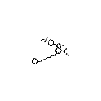 CCS(=O)(=O)N1CCC(c2c[nH]c3c(C(N)=O)cc(OCCCCOCc4ccccc4)cc23)CC1